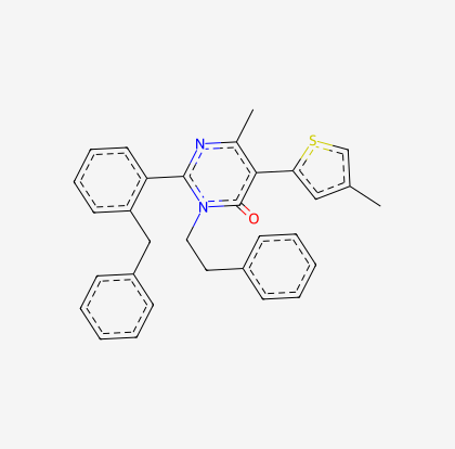 Cc1csc(-c2c(C)nc(-c3ccccc3Cc3ccccc3)n(CCc3ccccc3)c2=O)c1